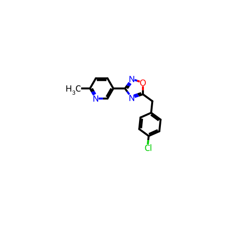 Cc1ccc(-c2noc(Cc3ccc(Cl)cc3)n2)cn1